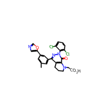 Cc1cc(-c2cnco2)cc(-c2nn(-c3c(Cl)cccc3Cl)c(=O)c3c2CCCN3CC(=O)O)c1